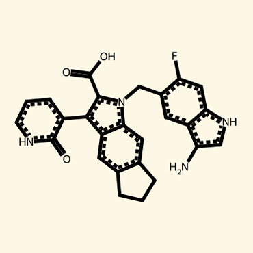 Nc1c[nH]c2cc(F)c(Cn3c(C(=O)O)c(-c4ccc[nH]c4=O)c4cc5c(cc43)CCC5)cc12